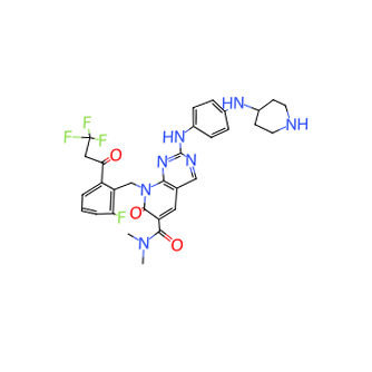 CN(C)C(=O)c1cc2cnc(Nc3ccc(NC4CCNCC4)cc3)nc2n(Cc2c(F)cccc2C(=O)CC(F)(F)F)c1=O